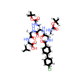 CC(C)C[C@H](NC(=O)[C@H](C)NC(=O)[C@H](CNC(=O)OC(C)(C)C)NC(=O)[C@H](CNC(=O)OC(C)(C)C)NC(=O)c1ccc(-c2ccc(Cl)cc2)cc1)C(=O)O